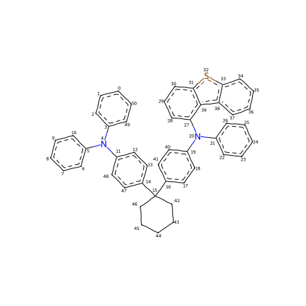 c1ccc(N(c2ccccc2)c2ccc(C3(c4ccc(N(c5ccccc5)c5cccc6sc7ccccc7c56)cc4)CCCCC3)cc2)cc1